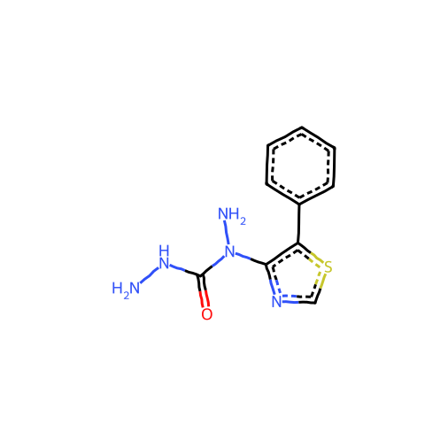 NNC(=O)N(N)c1ncsc1-c1ccccc1